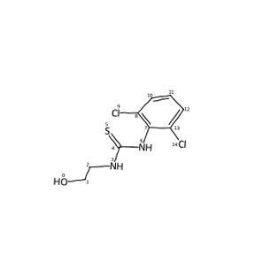 OCCNC(=S)Nc1c(Cl)cccc1Cl